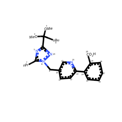 CCCCC(OC)(OC)c1nc(CCC)n(Cc2ccc(-c3ccccc3C(=O)O)nc2)n1